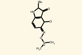 C[SiH](C)ON=C1C=CC2=C(C(=O)C(C(C)(C)C)N2)C1Cl